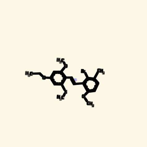 CCOc1cc(OC)c(/C=C/c2c(OC)ccc(C)c2Br)c(SC)c1